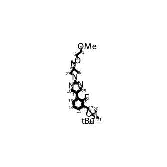 COCCON=C1CN(c2ncc(-c3cccc(CO[Si](C)(C)C(C)(C)C)c3F)cn2)C1